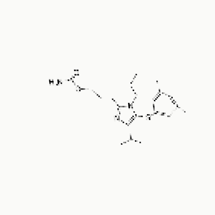 CCCn1c(CCCOC(N)=O)nc(C(C)C)c1Sc1cc(C)cc(C)c1